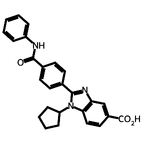 O=C(O)c1ccc2c(c1)nc(-c1ccc(C(=O)Nc3ccccc3)cc1)n2C1CCCC1